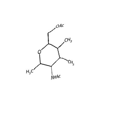 CC(=O)NC1C(C)OC(COC(C)=O)C(C)C1C